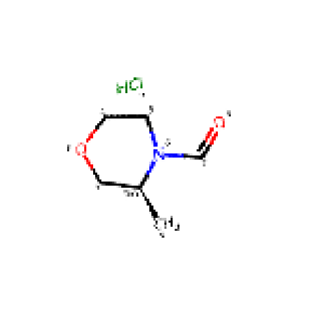 C[C@H]1COCCN1C=O.Cl